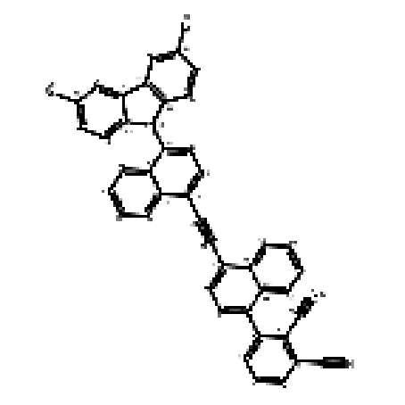 N#Cc1cccc(-c2ccc(C#Cc3ccc(-n4c5ccc(Br)cc5c5cc(Br)ccc54)c4ccccc34)c3ccccc23)c1C#N